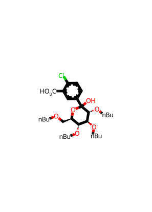 CCCCOC[C@H]1OC(O)(c2ccc(Cl)c(C(=O)O)c2)[C@H](OCCCC)[C@@H](OCCCC)[C@@H]1OCCCC